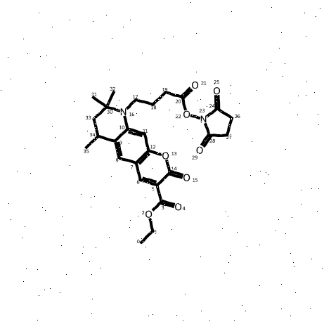 CCOC(=O)c1cc2cc3c(cc2oc1=O)N(CCCC(=O)ON1C(=O)CCC1=O)C(C)(C)CC3C